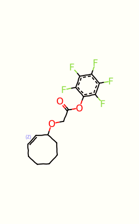 O=C(COC1/C=C\CCCCC1)Oc1c(F)c(F)c(F)c(F)c1F